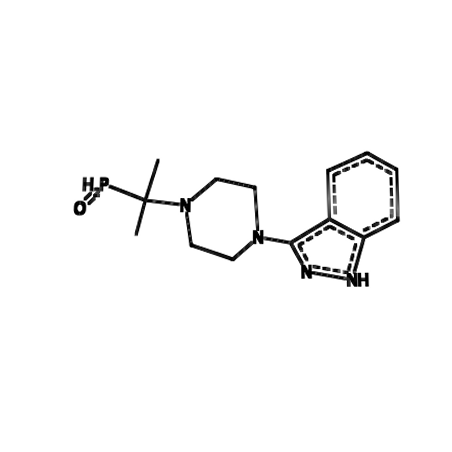 CC(C)([PH2]=O)N1CCN(c2n[nH]c3ccccc23)CC1